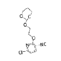 [C-]#[N+]c1ccc(Cl)nc1OCCOC1CCCCO1